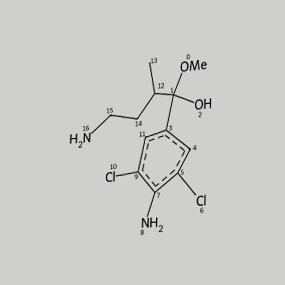 COC(O)(c1cc(Cl)c(N)c(Cl)c1)C(C)CCN